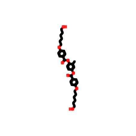 Cc1cc(OC(=O)c2ccc(OCCCCCCO)cc2)ccc1OC(=O)c1ccc(OCCCCCCO)cc1